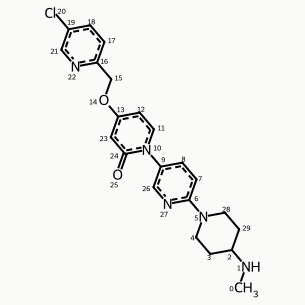 CNC1CCN(c2ccc(-n3ccc(OCc4ccc(Cl)cn4)cc3=O)cn2)CC1